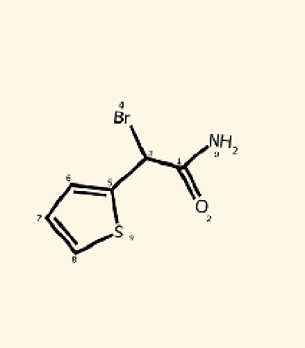 NC(=O)C(Br)c1cccs1